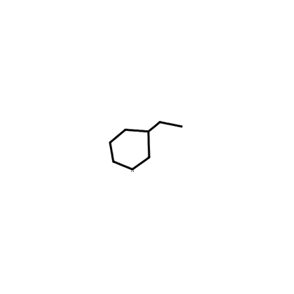 CCC1C[C]CCC1